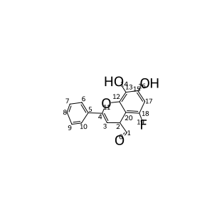 O=CC1C=C(c2ccccc2)Oc2c(O)c(O)cc(F)c21